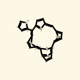 C1=CC2=NC1=Cc1ccc([nH]1)C1=C3C=CC(=N3)C(=c3ccc([nH]3)=C2c2ccco2)S1